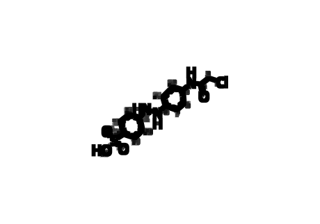 O=C(CCl)Nc1ccc(NNc2ccc(S(=O)(=O)O)cc2)cc1